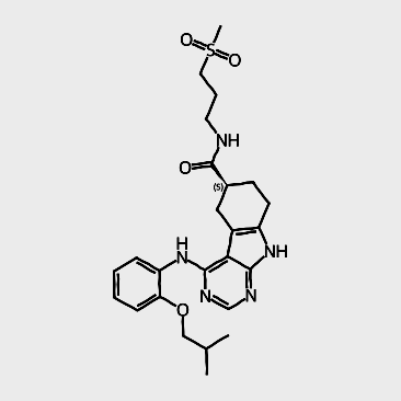 CC(C)COc1ccccc1Nc1ncnc2[nH]c3c(c12)C[C@@H](C(=O)NCCCS(C)(=O)=O)CC3